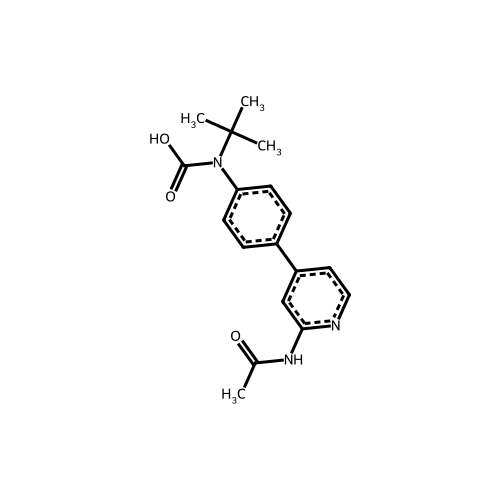 CC(=O)Nc1cc(-c2ccc(N(C(=O)O)C(C)(C)C)cc2)ccn1